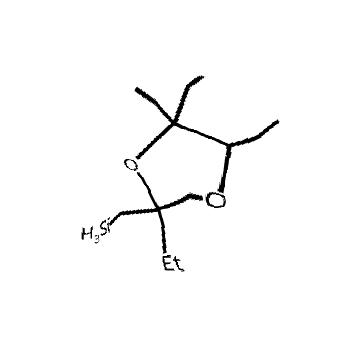 CCC1([SiH3])OC(C)C(C)(C)O1